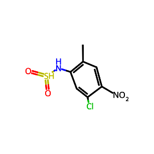 Cc1cc([N+](=O)[O-])c(Cl)cc1N[SH](=O)=O